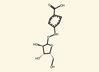 O=C(O)c1ccc(NOC2O[C@H](CO)[C@H](O)[C@H]2O)cc1